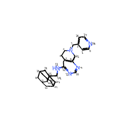 c1cc(CN2CCc3c(ncnc3NCC34CC5CC(CC(C5)C3)C4)C2)ccn1